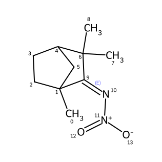 CC12CCC(C1)C(C)(C)/C2=N/[N+](=O)[O-]